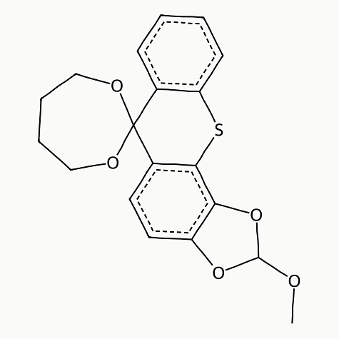 COC1Oc2ccc3c(c2O1)Sc1ccccc1C31OCCCCO1